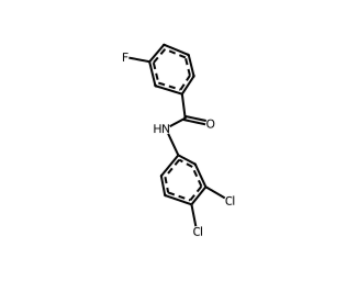 O=C(Nc1ccc(Cl)c(Cl)c1)c1cccc(F)c1